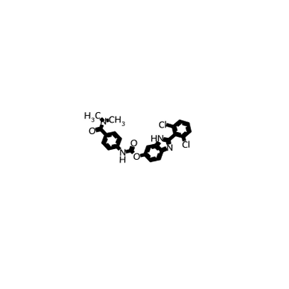 CN(C)C(=O)c1ccc(NC(=O)Oc2ccc3nc(-c4c(Cl)cccc4Cl)[nH]c3c2)cc1